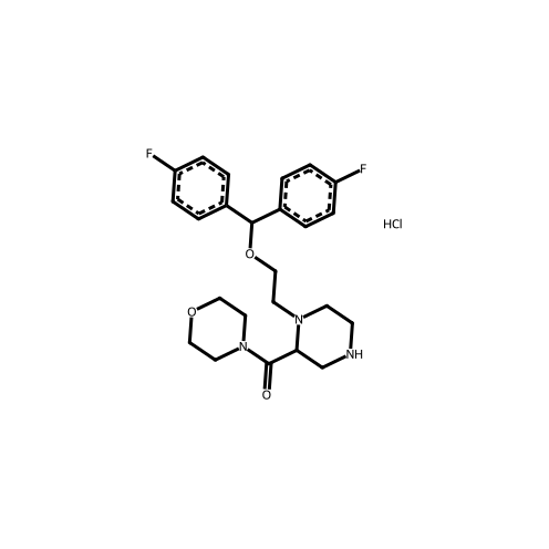 Cl.O=C(C1CNCCN1CCOC(c1ccc(F)cc1)c1ccc(F)cc1)N1CCOCC1